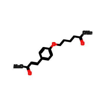 COC(=O)/C=C/c1ccc(OCCCCC(=O)OC)cc1